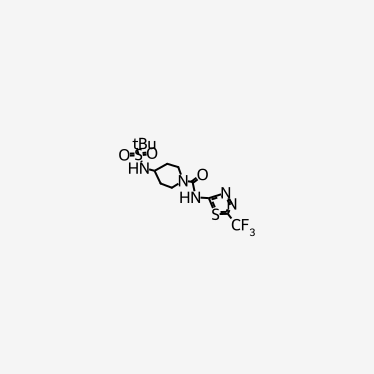 CC(C)(C)S(=O)(=O)NC1CCN(C(=O)Nc2nnc(C(F)(F)F)s2)CC1